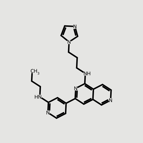 CCCNc1cc(-c2cc3cnccc3c(NCCCn3ccnc3)n2)ccn1